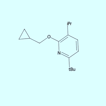 CC(C)c1ccc(C(C)(C)C)nc1OCC1CC1